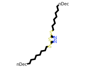 CCCCCCCCCCCCCCCCCCSc1nnc(SCCCCCCCCCCCCCCCCCC)s1